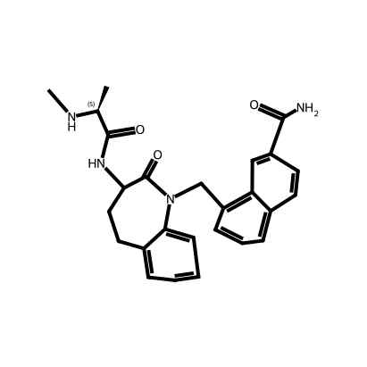 CN[C@@H](C)C(=O)NC1CCc2ccccc2N(Cc2cccc3ccc(C(N)=O)cc23)C1=O